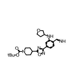 CC(C)(C)OC(=O)N1CCC(c2nc(-c3ccc(C=N)c(NC4CCOC4)c3)no2)CC1